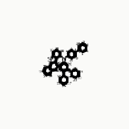 c1ccc(-c2ccc(N(c3ccc(-c4ccccc4)c(-c4ccccc4)c3)c3cccc4sc5c6ccccc6ccc5c34)cc2)cc1